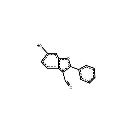 O=Cc1c(-c2ccccc2)oc2cc(O)ccc12